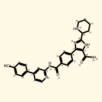 N#Cc1ccc(-c2ccnc(NC(=O)c3ccc(-c4nc(C5CCCCN5)[nH]c4C(N)=O)cc3)c2)cc1